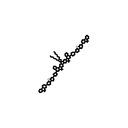 CCCCCCCCC1(CCCCCCCC)c2cc3c(cc2-c2cc4c(cc21)-c1c(cc(-c2ccc(-c5ccc6c(c5)oc5cc(-c7ccc8c(c7)C(C)(C)c7ccccc7-8)ccc56)cc2)c2ccccc12)C4(C)C)C(C)(C)c1cc(-c2ccc(-c4ccc5c(c4)oc4cc(-c6ccc7c(c6)C(C)(C)c6ccccc6-7)ccc45)cc2)c2ccccc2c1-3